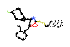 O=C(O)CSc1nc(-c2ccc(F)cc2)c(-c2ccccc2)o1